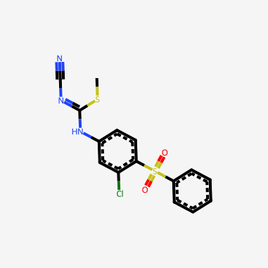 CS/C(=N\C#N)Nc1ccc(S(=O)(=O)c2ccccc2)c(Cl)c1